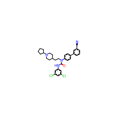 N#Cc1cccc(-c2ccc(N(CCC3CCN(C4CCCC4)CC3)C(=O)Nc3cc(Cl)cc(Cl)c3)cc2)c1